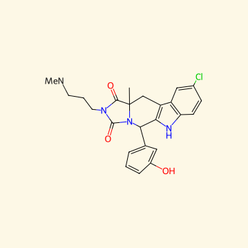 CNCCCN1C(=O)N2C(c3cccc(O)c3)c3[nH]c4ccc(Cl)cc4c3CC2(C)C1=O